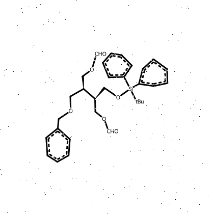 CC(C)(C)[Si](OC[C@@H](COC=O)[C@H](COC=O)COCc1ccccc1)(c1ccccc1)c1ccccc1